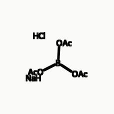 CC(=O)OB(OC(C)=O)OC(C)=O.Cl.[NaH]